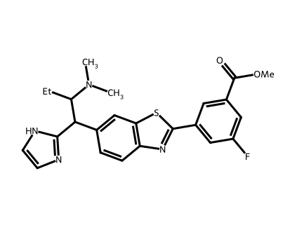 CCC(C(c1ccc2nc(-c3cc(F)cc(C(=O)OC)c3)sc2c1)c1ncc[nH]1)N(C)C